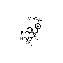 COC(=O)C12CCC(CN(C(=O)C3CC(O)(C(F)(F)F)C3)c3cccc(Br)c3)(CC1)CC2